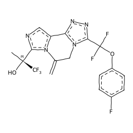 C=C1Cn2c(nnc2C(F)(F)Oc2ccc(F)cc2)-c2cnc([C@@](C)(O)C(F)(F)F)n21